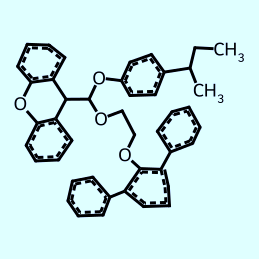 CCC(C)c1ccc(OC(OCCOc2c(-c3ccccc3)cccc2-c2ccccc2)C2c3ccccc3Oc3ccccc32)cc1